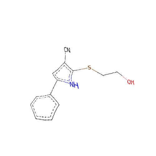 N#Cc1cc(-c2ccccc2)[nH]c1SCCO